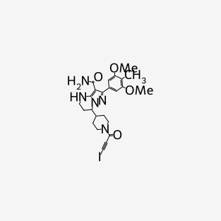 COc1cc(-c2nn3c(c2C(N)=O)NCCC3C2CCN(C(=O)C#CI)CC2)cc(OC)c1C